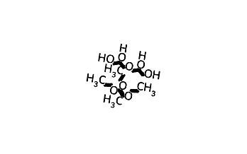 CCCOC(C)=C(OCCC)OCCC.OCC(O)COCC(O)CO